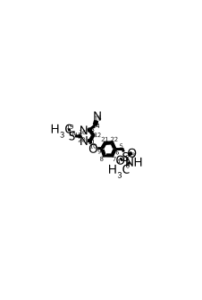 CNS(=O)(=O)Cc1ccc(Oc2cc(C#N)nc(SC)n2)cc1